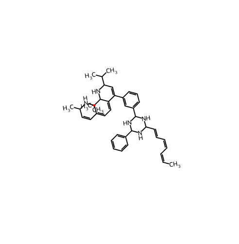 C\C=C/C=C\C=C\C1NC(c2ccccc2)NC(c2cccc(C3=CC(C(C)C)NC(C(C)C)/C3=C\C=C3\C=CC(C)NC3)c2)N1